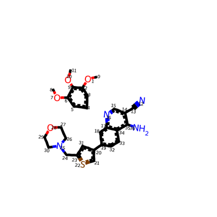 COc1cccc(OC)c1OC.N#Cc1cnc2cc(-c3csc(CN4CCOCC4)c3)ccc2c1N